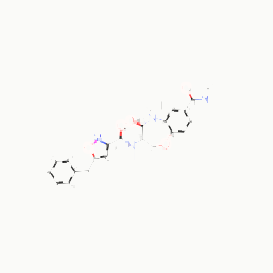 CN(C)C(=O)c1ccc2c(c1)N(C)C(=O)C(NC(=O)c1cc(Cc3ccccc3)on1)CO2